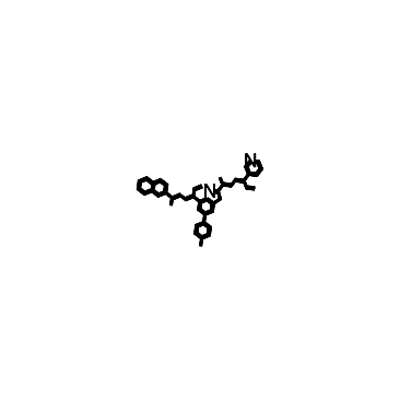 C=C/C(=C\C=C(/C)C1=Nc2c(cc(-c3ccc(C)cc3)cc2/C(C=C)=C/C=C(\C)c2ccc3ccccc3c2)C1)c1cccnc1